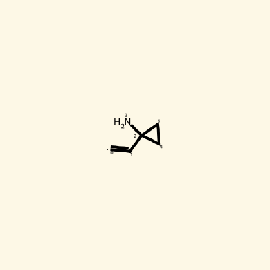 [CH]=CC1(N)CC1